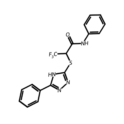 O=C(Nc1ccccc1)C(Sc1nnc(-c2ccccc2)[nH]1)C(F)(F)F